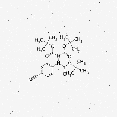 CC(C)(C)OC(=O)N(C(=O)OC(C)(C)C)N(C(=O)OC(C)(C)C)c1ccc(C#N)cc1